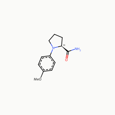 COc1ccc(N2CCC[C@H]2C(N)=O)cc1